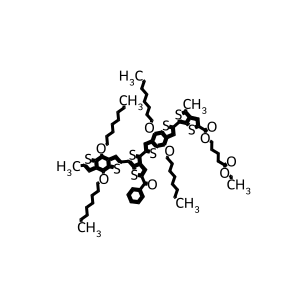 CCCCCCCCOc1c2cc(-c3sc(-c4cc5c(OCCCCCCCC)c6sc(-c7sc(C)c8cc(C(=O)OCCCCC(=O)OCC)sc78)cc6c(OCCCCCCCC)c5s4)c4cc(C(=O)c5ccccc5)sc34)sc2c(OCCCCCCCC)c2cc(C)sc12